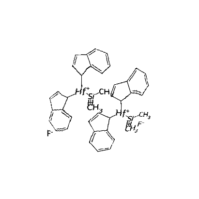 C[SiH](C)[Hf+]([CH]1C=Cc2ccccc21)[CH]1C=Cc2ccccc21.C[SiH](C)[Hf+]([CH]1C=Cc2ccccc21)[CH]1C=Cc2ccccc21.[F-].[F-]